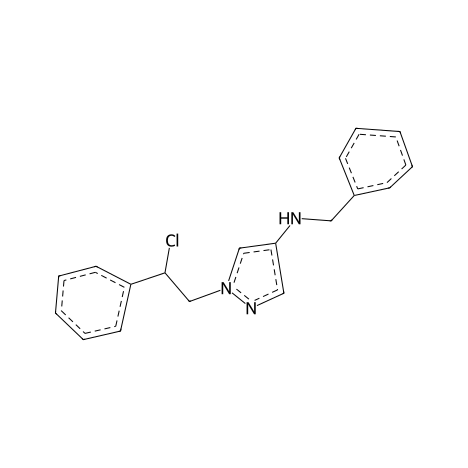 ClC(Cn1cc(NCc2ccccc2)cn1)c1ccccc1